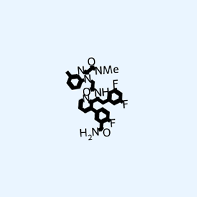 CNC(=O)c1nc2c(C)cccc2n1CC(=O)NC(Cc1cc(F)cc(F)c1)c1ncccc1-c1ccc(F)c(C(N)=O)c1